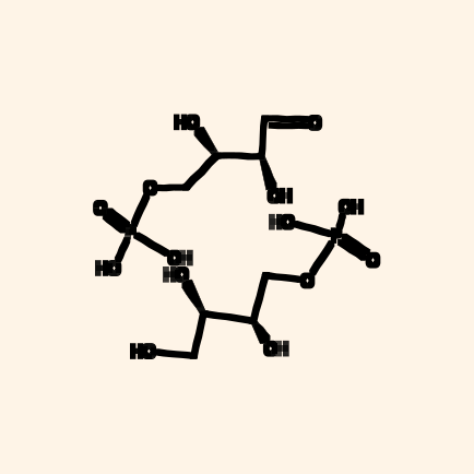 O=C[C@@H](O)[C@H](O)COP(=O)(O)O.O=P(O)(O)OC[C@@H](O)[C@H](O)CO